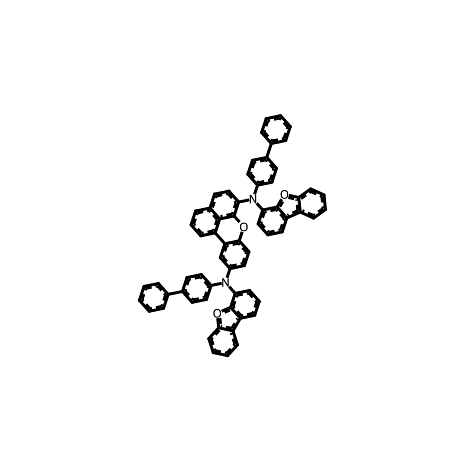 c1ccc(-c2ccc(N(c3ccc4c(c3)-c3cccc5ccc(N(c6ccc(-c7ccccc7)cc6)c6cccc7c6oc6ccccc67)c(c35)O4)c3cccc4c3oc3ccccc34)cc2)cc1